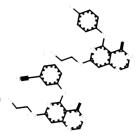 N#Cc1cccc(Nc2nc(NCCN)cc3nc[nH]c(=O)c23)c1.NCCNc1cc2nc[nH]c(=O)c2c(Nc2ccc(F)cc2)n1